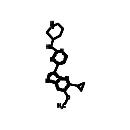 COc1cc2ncc(-c3ccnc(NC4CCCNC4)n3)n2nc1C1CC1